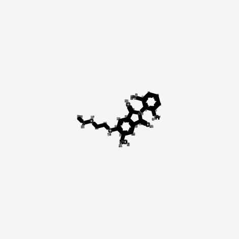 CC(C)c1cccc(C(C)C)c1N1C(=O)c2cc(OCCOSI)c([N+](=O)[O-])cc2C1=O